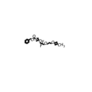 C[C@H]1C[C@@H](OCCCOCC(F)(F)COC2CN(C(=O)OCc3ccccc3)C2)C1